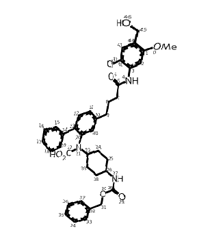 COc1cc(NC(=O)CCCc2ccc(-c3ccccc3)c(N(C(=O)O)C3CCC(NC(=O)OCc4ccccc4)CC3)c2)c(Cl)cc1CO